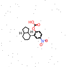 O=C(O)Oc1ccc([N+](=O)[O-])cc1[C@H]1CCC[C@H]2CCC[C@H]21